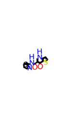 O=C(NC1CC2CCCN1CC2)c1c[nH]c2ccsc2c1=O